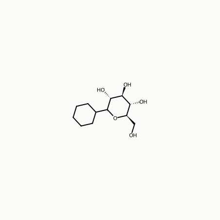 OC[C@H]1O[C](C2CCCCC2)[C@H](O)[C@@H](O)[C@@H]1O